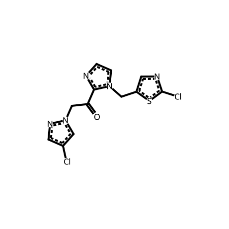 O=C(Cn1cc(Cl)cn1)c1nccn1Cc1cnc(Cl)s1